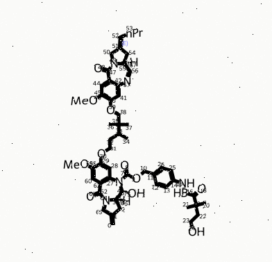 C=C1C[C@H]2[C@H](O)N(C(=O)OCc3ccc(NBC(=O)C(C)(C)CCO)cc3)c3cc(OCCC(C)C(C)(C)COc4cc5c(cc4OC)C(=O)N4C/C(=C/CCC)C[C@H]4C=N5)c(OC)cc3C(=O)N2C1